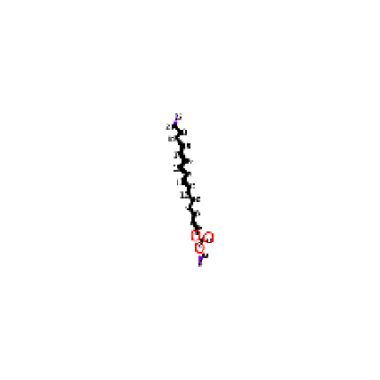 O=C(OCI)OCCCCCCCCCCCCCCCCI